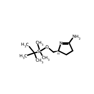 CC(C)(C)[Si](C)(C)OC[C@@H]1CCC(N)=N1